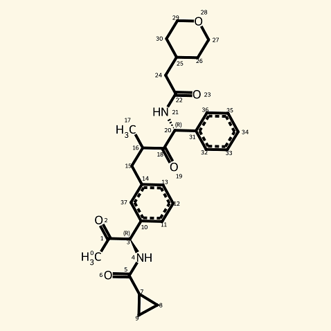 CC(=O)[C@H](NC(=O)C1CC1)c1cccc(CC(C)C(=O)[C@H](NC(=O)CC2CCOCC2)c2ccccc2)c1